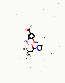 CC(C)CC(=O)N1CCC[C@H]1COc1ccc(C(=O)O)cc1[N+](=O)[O-]